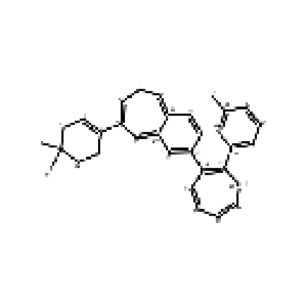 CCC1(C)CC=C(C2=CCC=c3ccc(C4=C(c5cccc(C)n5)NC=CC=C4)cc3=C2)CC1